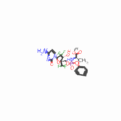 CC(C)OC(=O)[C@H](C)NP(=O)(OC[C@@]1(C(F)F)O[C@@H](n2ccc(N)nc2=O)C(F)(F)[C@@H]1O)Oc1ccccc1